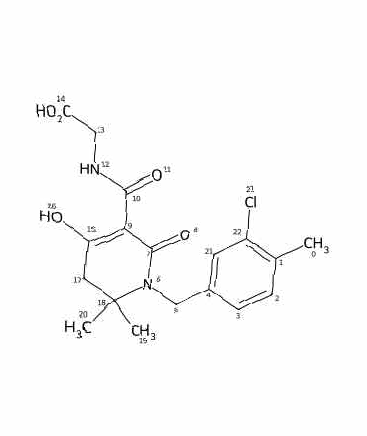 Cc1ccc(CN2C(=O)C(C(=O)NCC(=O)O)=C(O)CC2(C)C)cc1Cl